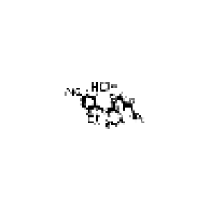 CCc1cc(C#N)ccc1/N=C1\SCC(CC(C)C)N1CC(C)C.Cl